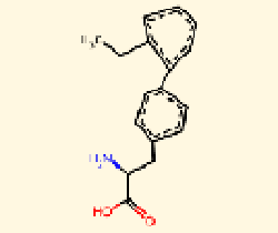 CCc1ccccc1-c1ccc(C[C@H](N)C(=O)O)cc1